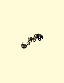 C=P(OC)(OCCC(C)(C)OCC(C)(C)COCCNC(=O)CCC(=O)N1Cc2ccccc2-c2nnn(C)c2-c2ccccc21)OC(CC)CCC